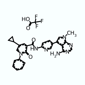 Cn1cc(-c2ccc(NC(=O)c3cc(C4CC4)cn(-c4ccccc4)c3=O)nc2)c2c(N)ncnc21.O=C(O)C(F)(F)F